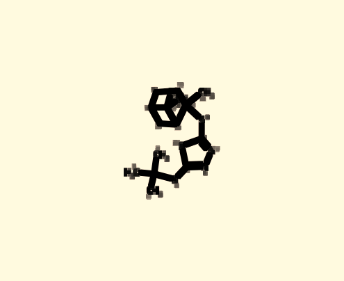 CC(C)(C)Sc1nnc(SC2(C)CCC3CC2C3(C)C)s1